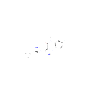 CC(C)n1c(=O)c2c(-n3cc(C4CC4)nn3)ncn2c2ccc(F)cc21